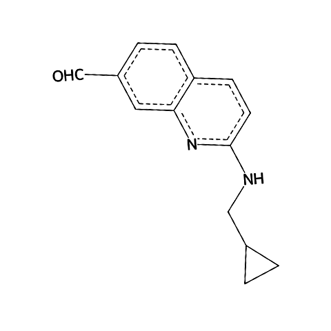 O=Cc1ccc2ccc(NCC3CC3)nc2c1